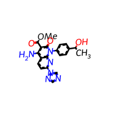 COC(=O)c1c(N)c2ccc(-n3cncn3)nc2n(-c2ccc(C(C)O)cc2)c1=O